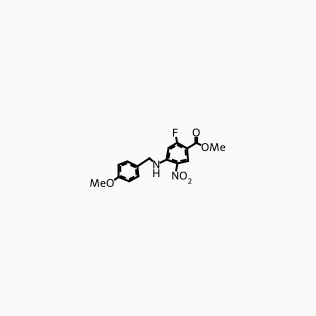 COC(=O)c1cc([N+](=O)[O-])c(NCc2ccc(OC)cc2)cc1F